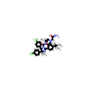 CCOc1cc(C(C)(C)C)ccc1C1=N[C@@](C)(c2ccc(Cl)cc2)[C@@](C)(c2ccc(Cl)cc2)N1C(=O)N1CCN(CC(N)=O)CC1